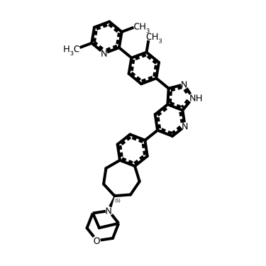 Cc1ccc(C)c(-c2ccc(-c3n[nH]c4ncc(-c5ccc6c(c5)CC[C@@H](N5C7COCC5C7)CC6)cc34)cc2C)n1